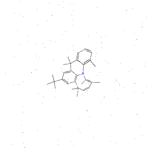 CC1=C(/C)N2c3c(C)cccc3C(C)(C)c3cc(C(C)(C)C)cc(c32)C(C)(C)/C=C\1